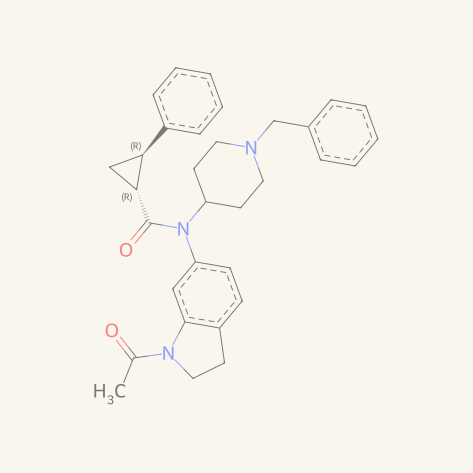 CC(=O)N1CCc2ccc(N(C(=O)[C@@H]3C[C@H]3c3ccccc3)C3CCN(Cc4ccccc4)CC3)cc21